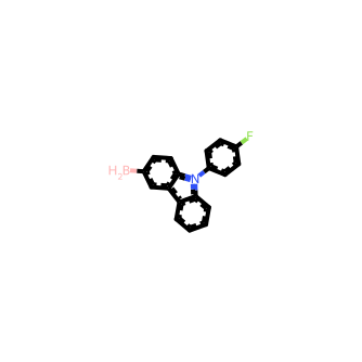 Bc1ccc2c(c1)c1ccccc1n2-c1ccc(F)cc1